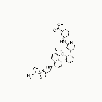 Cc1ccc2c(NCc3csc(C(C)C)n3)cccc2c1Oc1ncccc1-c1ccnc(N[C@H]2CCCN(C(=O)O)C2)n1